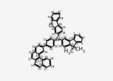 CC1(C)c2ccccc2-c2cc(N(c3ccc(-c4ccc5ccc6ccc7ccccc7c6c5c4)cc3)c3ccc4c(c3)oc3ccccc34)ccc21